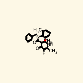 Cc1cccc(C)c1N(Cc1ccccc1)C(=O)c1c(C)[nH]c(C)c(F)c1=O